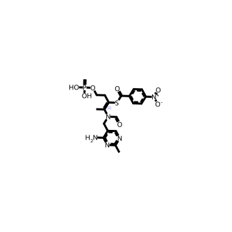 C=P(O)(O)OCC/C(SC(=O)c1ccc([N+](=O)[O-])cc1)=C(\C)N(C=O)Cc1cnc(C)nc1N